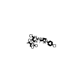 C[C@H](Nc1nc(Cl)cc(N2C(=O)OCC2[C@@H](C)O)n1)c1ccn(-c2ccc(Cl)cc2)n1